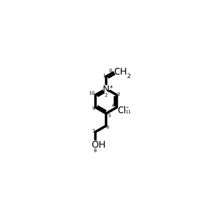 C=C[n+]1ccc(CCO)cc1.[Cl-]